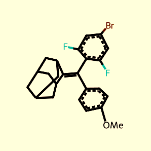 COc1ccc(C(=C2C3CC4CC(C3)CC2C4)c2c(F)cc(Br)cc2F)cc1